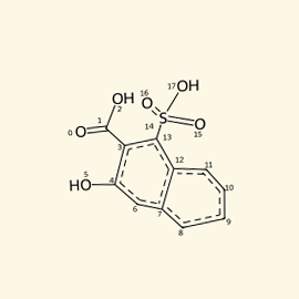 O=C(O)c1c(O)cc2ccccc2c1S(=O)(=O)O